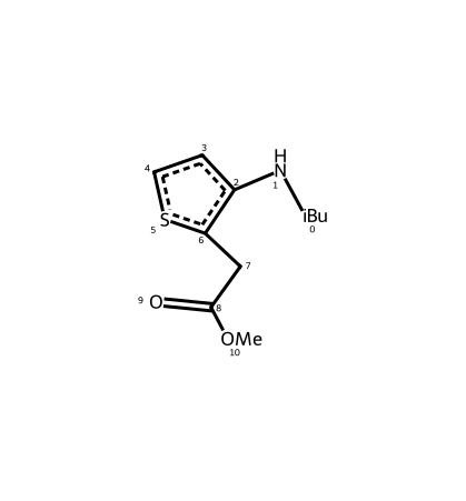 CCC(C)Nc1ccsc1CC(=O)OC